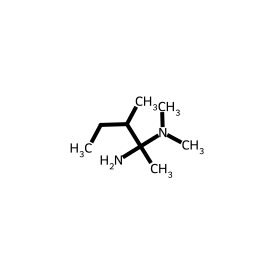 CCC(C)C(C)(N)N(C)C